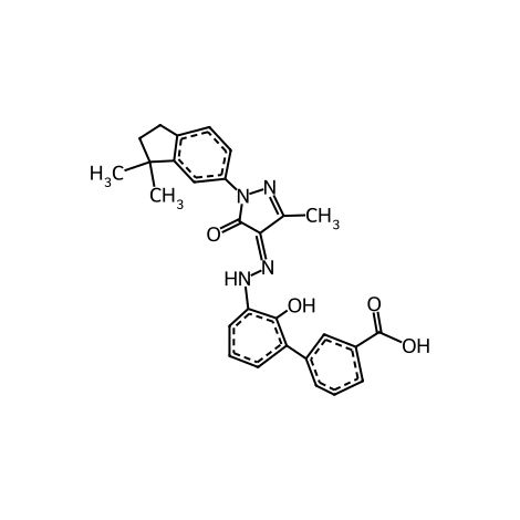 CC1=NN(c2ccc3c(c2)C(C)(C)CC3)C(=O)C1=NNc1cccc(-c2cccc(C(=O)O)c2)c1O